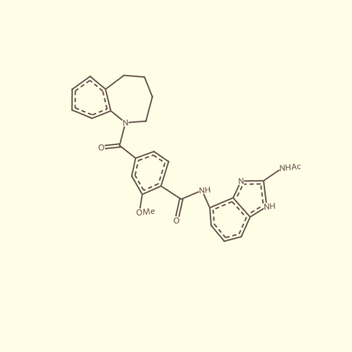 COc1cc(C(=O)N2CCCCc3ccccc32)ccc1C(=O)Nc1cccc2[nH]c(NC(C)=O)nc12